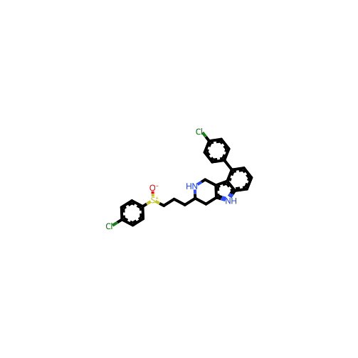 [O-][S+](CCCC1Cc2[nH]c3cccc(-c4ccc(Cl)cc4)c3c2CN1)c1ccc(Cl)cc1